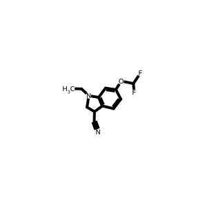 CCN1CC(C#N)c2ccc(OC(F)F)cc21